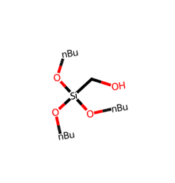 CCCCO[Si](CO)(OCCCC)OCCCC